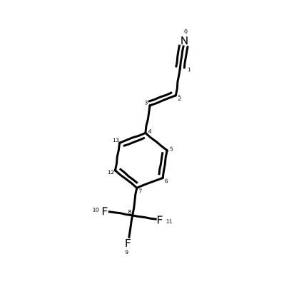 N#C/[C]=C/c1ccc(C(F)(F)F)cc1